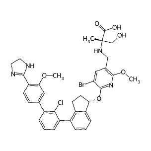 COc1cc(-c2cccc(-c3cccc4c3CC[C@@H]4Oc3nc(OC)c(CN[C@@](C)(CO)C(=O)O)cc3Br)c2Cl)ccc1C1=NCCN1